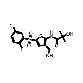 CC(C)(O)C(=O)Nc1sc(S(=O)(=O)c2cc(Cl)ccc2F)cc1CN